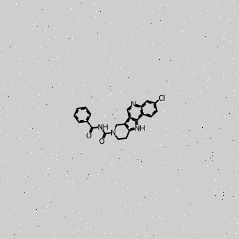 O=C(NC(=O)N1CCc2[nH]c3c(cnc4cc(Cl)ccc43)c2C1)c1ccccc1